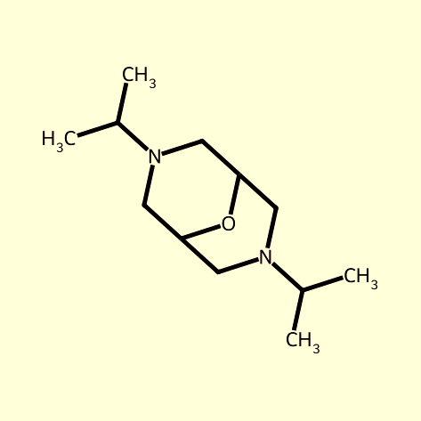 CC(C)N1CC2CN(C(C)C)CC(C1)O2